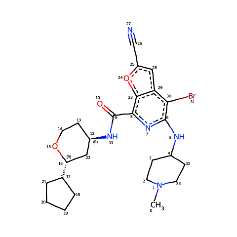 CN1CCC(Nc2nc(C(=O)N[C@@H]3CCO[C@@H](C4CCCC4)C3)c3oc(C#N)cc3c2Br)CC1